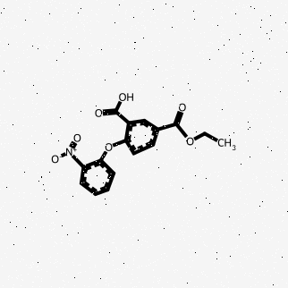 CCOC(=O)c1ccc(Oc2ccccc2[N+](=O)[O-])c(C(=O)O)c1